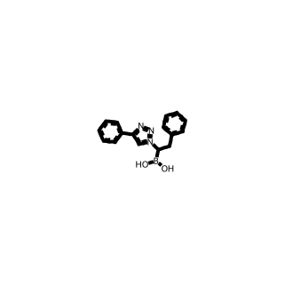 OB(O)C(Cc1ccccc1)n1cc(-c2ccccc2)nn1